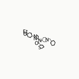 CCOc1ccc(-n2ccc(N(C(=O)c3cccs3)C3CCN(Cc4ccccc4)CC3)n2)cc1